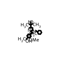 C=C(O)c1ccc(-c2cn(CC3(C)CCCCC3)c3cc(-c4c(C)noc4C)cnc23)cc1OC